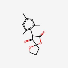 Cc1cc(C)c(C2C(=O)OC3(CCCO3)C2=O)c(C)c1